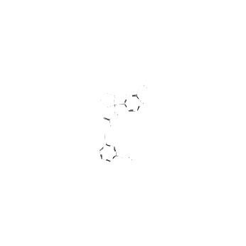 N#Cc1cccc(COC(=O)NC2(c3ccnc(C#N)n3)CCCC2)c1